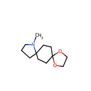 CN1CCCC12CCC1(CC2)OCCO1